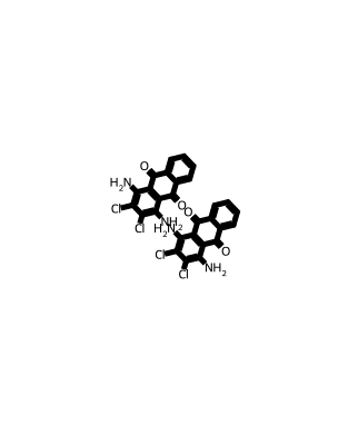 Nc1c(Cl)c(Cl)c(N)c2c1C(=O)c1ccccc1C2=O.Nc1c(Cl)c(Cl)c(N)c2c1C(=O)c1ccccc1C2=O